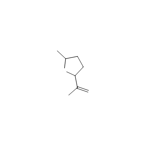 C=C(C)C1CCC(C)O1